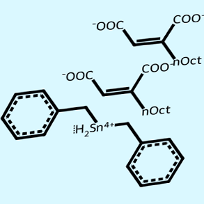 CCCCCCCC/C(=C/C(=O)[O-])C(=O)[O-].CCCCCCCC/C(=C/C(=O)[O-])C(=O)[O-].c1ccc([CH2][SnH2+4][CH2]c2ccccc2)cc1